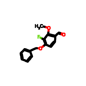 COc1c(C=O)ccc(OCc2ccccc2)c1F